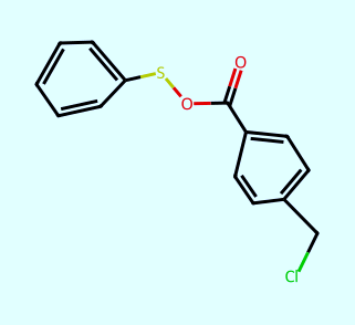 O=C(OSc1ccccc1)c1ccc(CCl)cc1